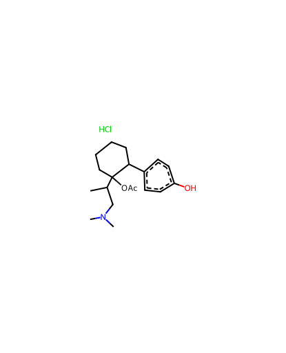 CC(=O)OC1(C(C)CN(C)C)CCCCC1c1ccc(O)cc1.Cl